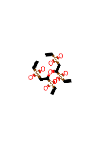 C=CS(=O)(=O)CC(OC(CS(=O)(=O)C=C)S(=O)(=O)C=C)S(=O)(=O)C=C